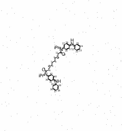 CC(C)N(C(=O)CSCCCCSCC(=O)N(c1ccc(Nc2ccccc2)cc1)C(C)C)c1ccc(Nc2ccccc2)cc1